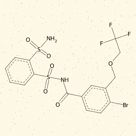 NS(=O)(=O)c1ccccc1S(=O)(=O)NC(=O)c1ccc(Br)c(COCC(F)(F)F)c1